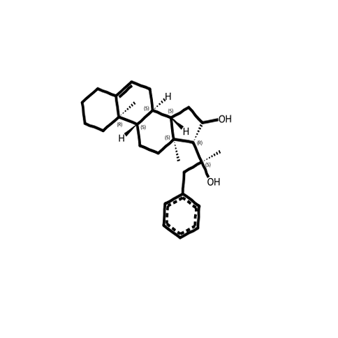 C[C@]12CC[C@H]3[C@@H](CC=C4CCCC[C@@]43C)[C@@H]1CC(O)[C@@H]2[C@@](C)(O)Cc1ccccc1